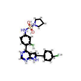 O=S(=O)(Nc1ccc(-c2ncnc3[nH]c(-c4ccc(F)cc4)cc23)c(F)c1)N1CCCC1